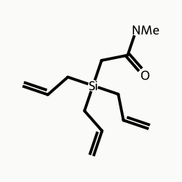 C=CC[Si](CC=C)(CC=C)CC(=O)NC